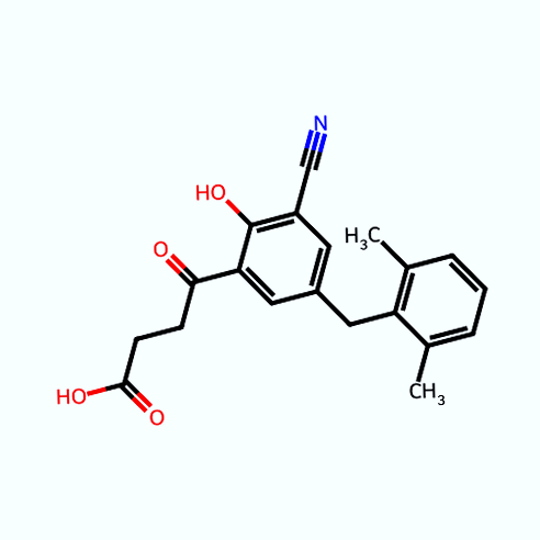 Cc1cccc(C)c1Cc1cc(C#N)c(O)c(C(=O)CCC(=O)O)c1